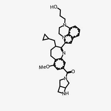 COc1cc(C(=O)N2CC3CNC3C2)cc2c1CCC(CC1CC1)C(c1cc3cccc4c3n1CCN4CCCO)=N2